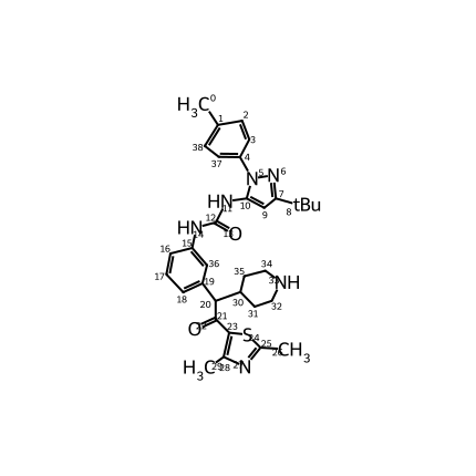 Cc1ccc(-n2nc(C(C)(C)C)cc2NC(=O)Nc2cccc(C(C(=O)c3sc(C)nc3C)C3CCNCC3)c2)cc1